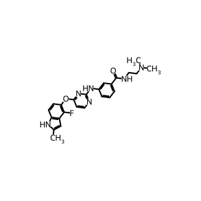 Cc1cc2c(F)c(Oc3ccnc(Nc4cccc(C(=O)NCCN(C)C)c4)n3)ccc2[nH]1